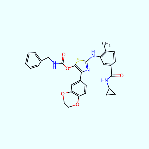 Cc1ccc(C(=O)NC2CC2)cc1Nc1nc(-c2ccc3c(c2)OCCO3)c(OC(=O)NCc2ccccc2)s1